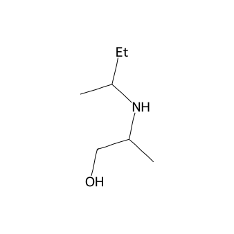 CCC(C)NC(C)CO